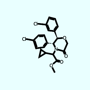 COC(=O)C(C1CC1)N1C(=O)CO[C@H](c2cccc(Cl)c2)[C@H]1c1ccc(Cl)cc1